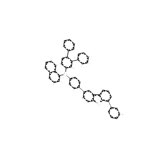 c1ccc(-c2ccc(N(c3ccc(-c4ccc5oc6c(-c7ccccc7)cccc6c5c4)cc3)c3cccc4ccccc34)cc2-c2ccccc2)cc1